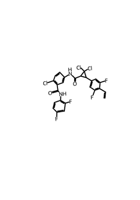 C=Cc1c(F)cc(C2C(C(=O)Nc3ccc(Cl)c(C(=O)Nc4ccc(F)cc4F)c3)C2(Cl)Cl)cc1F